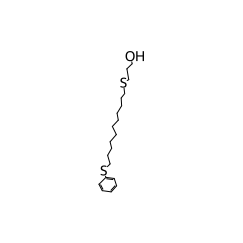 OCCCSCCCCCCCCCCCSc1ccccc1